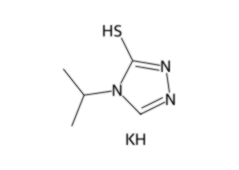 CC(C)n1cnnc1S.[KH]